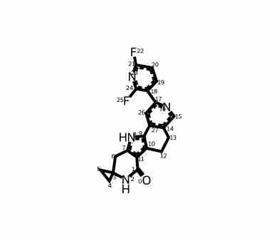 O=C1NC2(CC2)Cc2[nH]c3c(c21)CCc1cnc(-c2ccc(F)nc2F)cc1-3